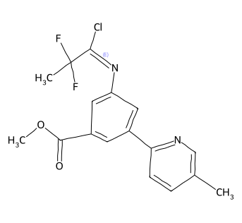 COC(=O)c1cc(/N=C(/Cl)C(C)(F)F)cc(-c2ccc(C)cn2)c1